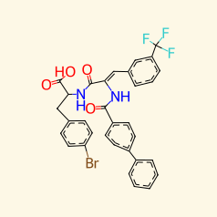 O=C(NC(Cc1ccc(Br)cc1)C(=O)O)C(=Cc1cccc(C(F)(F)F)c1)NC(=O)c1ccc(-c2ccccc2)cc1